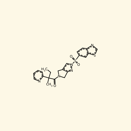 CCC(C)(C(=O)N1Cc2cn(S(=O)(=O)c3ccc4ncsc4c3)nc2C1)c1ccccn1